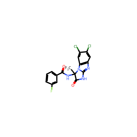 O=C(NC1(C(F)(F)F)C(=O)Nc2nc3cc(Cl)c(Cl)cc3n21)c1cccc(F)c1